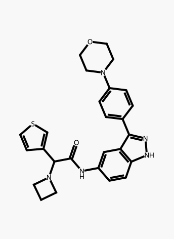 O=C(Nc1ccc2[nH]nc(-c3ccc(N4CCOCC4)cc3)c2c1)C(c1ccsc1)N1CCC1